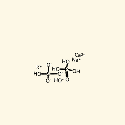 O=P(O)(O)O.[Ca+2].[K+].[Na+].[O-][Si]([O-])([O-])O.[OH-]